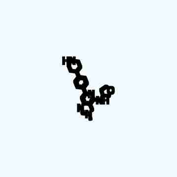 CN1C=Nc2cc(-c3ccc(C4CCNCC4)cc3)nc(N[C@@H]3CCOC3)c2C1